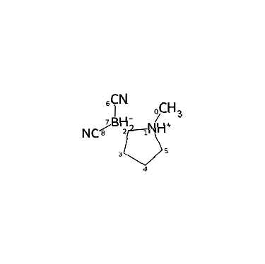 C[NH+]1CCCC1.N#C[BH2-]C#N